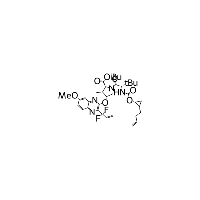 C=CCC[C@@H]1C[C@H]1OC(=O)N[C@H](C(=O)N1C[C@H](Oc2nc3cc(OC)ccc3nc2C(F)(F)C=C)[C@@H](C)[C@H]1C(=O)OCC(C)C)C(C)(C)C